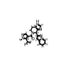 Cn1ncc(C(=O)N2CCc3[nH]cnc3C2c2cc3ccccn3n2)c1C(F)F